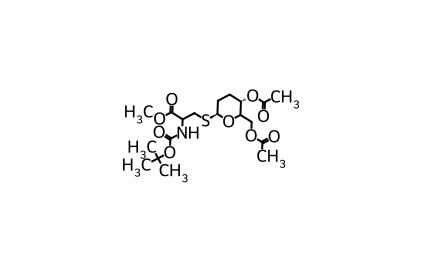 COC(=O)C(CS[C@H]1CC[C@H](OC(C)=O)C(COC(C)=O)O1)NC(=O)OC(C)(C)C